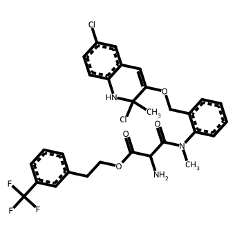 CN(C(=O)C(N)C(=O)OCCc1cccc(C(F)(F)F)c1)c1ccccc1COC1=Cc2cc(Cl)ccc2NC1(C)Cl